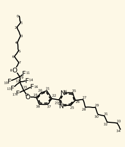 CCCCCCCCOC(F)(F)C(F)(F)C(F)(F)Oc1ccc(-c2ncc(CCCCCCCC)cn2)cc1